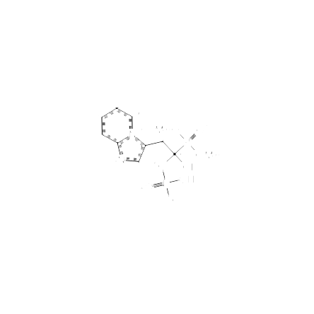 COP(=O)(OC)C(O)(Cc1cnc2ccccn12)OP(=O)(O)O